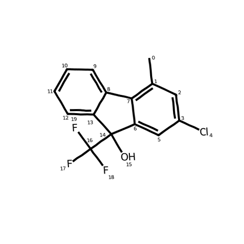 Cc1cc(Cl)cc2c1-c1ccccc1C2(O)C(F)(F)F